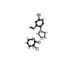 C=Cc1cc(Br)ccc1N1CC[C@H](Oc2ncccc2Cl)C1